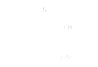 CC(=O)Oc1cccc(C#N)c1C